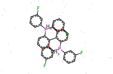 Cc1cccc(P(c2cccc(F)c2)c2cccc(F)c2)c1-c1c(C)cccc1P(c1cccc(F)c1)c1cccc(F)c1